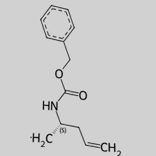 [CH2][C@@H](CC=C)NC(=O)OCc1ccccc1